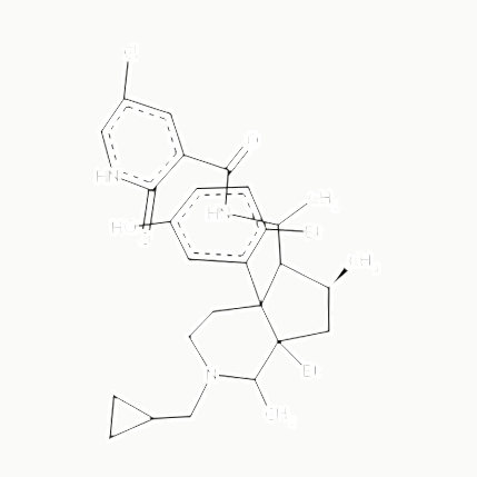 CCc1ccc(O)cc1C12CCN(CC3CC3)C(C)C1(CC)C[C@H](C)C2C(C)NC(=O)c1cc(Cl)c[nH]c1=O